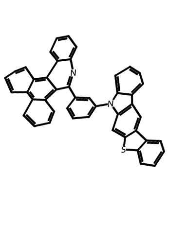 c1cc(-c2nc3ccccc3c3c4ccccc4c4ccccc4c23)cc(-n2c3ccccc3c3cc4c(cc32)sc2ccccc24)c1